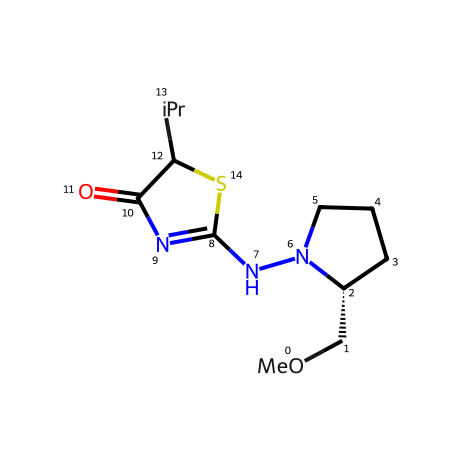 COC[C@H]1CCCN1NC1=NC(=O)C(C(C)C)S1